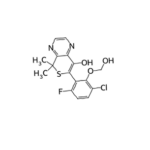 CC1(C)SC(c2c(F)ccc(Cl)c2OCO)=C(O)c2nccnc21